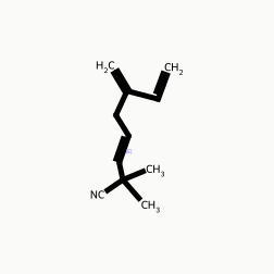 C=CC(=C)C/C=C/C(C)(C)C#N